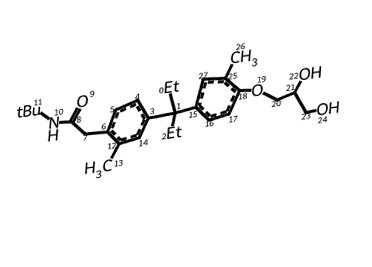 CCC(CC)(c1ccc(CC(=O)NC(C)(C)C)c(C)c1)c1ccc(OCC(O)CO)c(C)c1